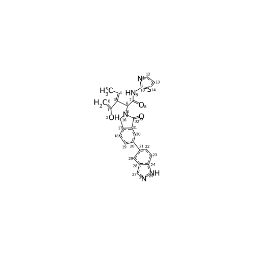 C=C(O)/C(=C\C)C(C(=O)Nc1nccs1)N1Cc2ccc(-c3ccc4[nH]ncc4c3)cc2C1=O